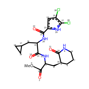 COC(=O)C(C[C@@H]1CCCNC1=O)NC(=O)C(CC1CC1)NC(=O)c1cc(Cl)c(Cl)[nH]1